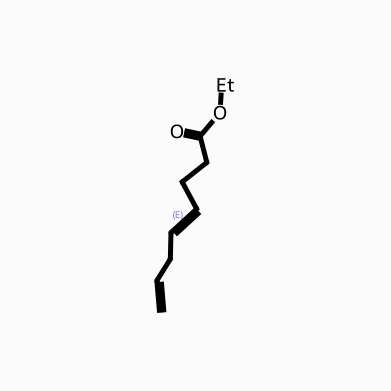 C=CC/C=C/CCC(=O)OCC